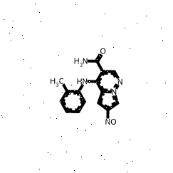 Cc1ccccc1Nc1c(C(N)=O)cnn2cc(N=O)cc12